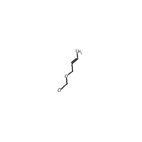 CC=CCOCCl